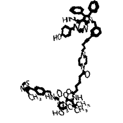 Cc1ncsc1-c1ccc(CNC(=O)[C@@H]2C[C@@H](O)CN2C(=O)[C@@H](NC(=O)CCCCC(=O)N2CCN(CCCC#Cc3cccc(Cn4c(-c5ccccc5)c(-c5ccccc5)c5c(=N)n(C6CCC(O)CC6)cnc54)c3)CC2)C(C)(C)C)cc1